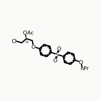 [CH2][CH]COc1ccc(S(=O)(=O)c2ccc(OC[C@@H](CCl)OC(C)=O)cc2)cc1